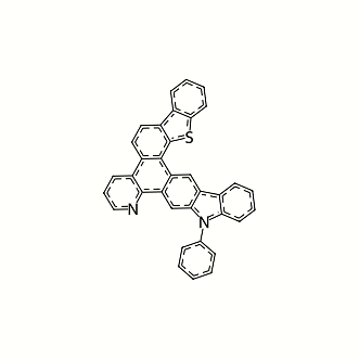 c1ccc(-n2c3ccccc3c3cc4c(cc32)c2ncccc2c2ccc3c5ccccc5sc3c24)cc1